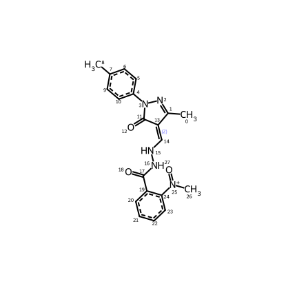 CC1=NN(c2ccc(C)cc2)C(=O)/C1=C\NNC(=O)c1ccccc1[N+](C)=O